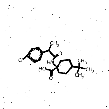 CC(C(=O)NC1(C(=O)O)CCC(C(C)(C)C)CC1)c1ccc(Cl)cc1